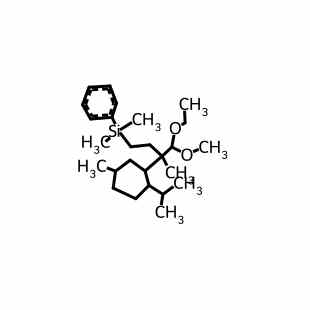 CCOC(OC)C(C)(CC[Si](C)(C)c1ccccc1)C1CC(C)CCC1C(C)C